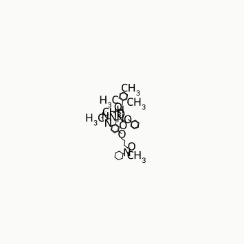 Cc1cc(C)c(COC(=O)CN2C(N(C)C)=Nc3ccc(OCCCC(=O)N(C)C4CCCCC4)cc3C2NC(=O)Oc2ccccc2)c(C)c1